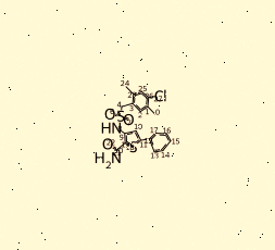 Cc1cc(CS(=O)(=O)Nc2cc(-c3ccccc3)sc2C(N)=O)c(C)cc1Cl